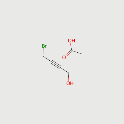 CC(=O)O.OCC#CCBr